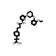 CCOc1ccccc1OC1CCCN(c2cccc(NC(=O)CCc3ccc(C(C)(C)C(=O)O)cc3)n2)C1